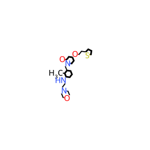 Cc1c(Cn2ccc(OCCc3cccs3)cc2=O)cccc1NCCN1CCOCC1